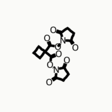 O=C1CCC(=O)N1OC(=O)C1(C(=O)ON2C(=O)CCC2=O)CCC1